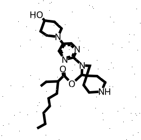 CCCCCCC(CC)C(=O)OC1N(c2ncc(N3CCC(O)CC3)cn2)CC12CCNCC2